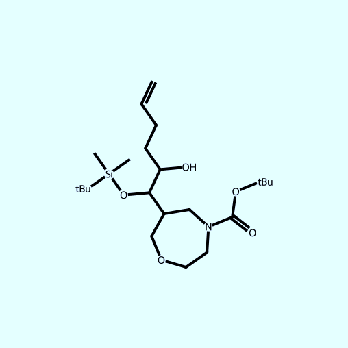 C=CCCC(O)C(O[Si](C)(C)C(C)(C)C)C1COCCN(C(=O)OC(C)(C)C)C1